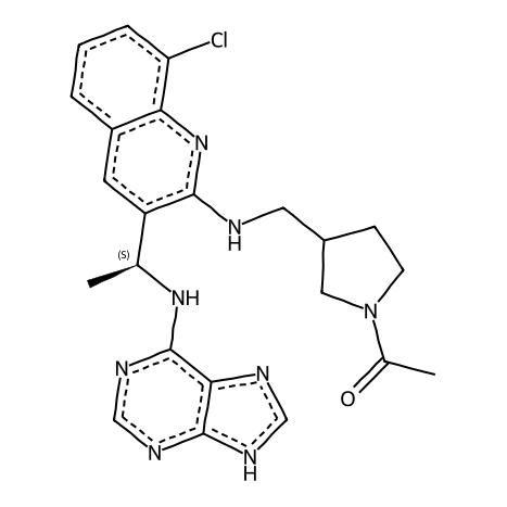 CC(=O)N1CCC(CNc2nc3c(Cl)cccc3cc2[C@H](C)Nc2ncnc3[nH]cnc23)C1